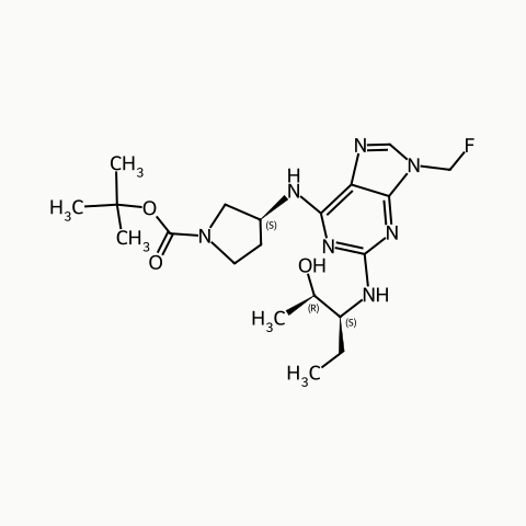 CC[C@H](Nc1nc(N[C@H]2CCN(C(=O)OC(C)(C)C)C2)c2ncn(CF)c2n1)[C@@H](C)O